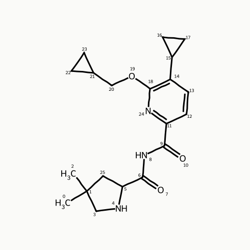 CC1(C)CNC(C(=O)NC(=O)c2ccc(C3CC3)c(OCC3CC3)n2)C1